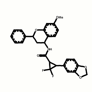 COc1ccc2c(c1)OC(c1ccccc1)CC2NC(=O)C1C(c2ccc3c(c2)OCO3)C1(F)F